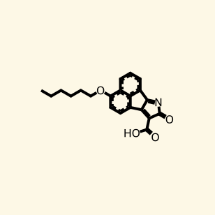 CCCCCCOc1ccc2c3c(cccc13)C1=NC(=O)C(C(=O)O)=C12